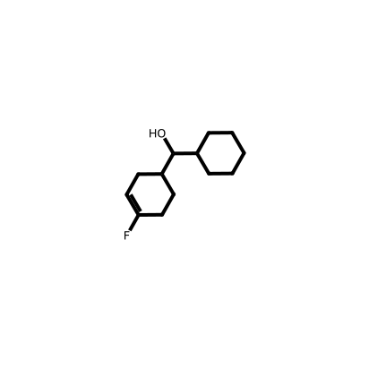 OC(C1CC=C(F)CC1)C1CCCCC1